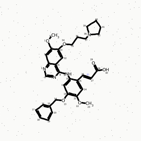 COc1cc2ncnc(Nc3cc(OCc4ccccc4)c(OC)cc3/C=C/C(=O)O)c2cc1OCCCN1CCCC1